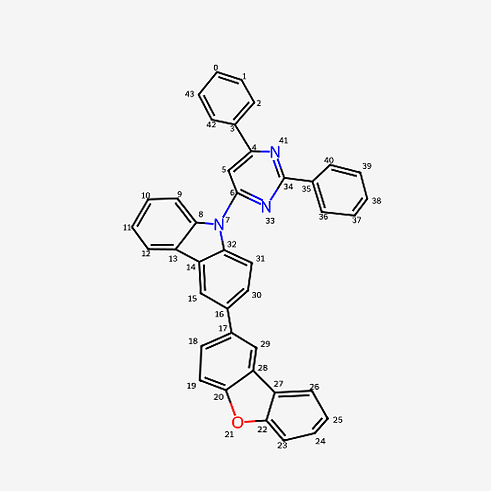 c1ccc(-c2cc(-n3c4ccccc4c4cc(-c5ccc6oc7ccccc7c6c5)ccc43)nc(-c3ccccc3)n2)cc1